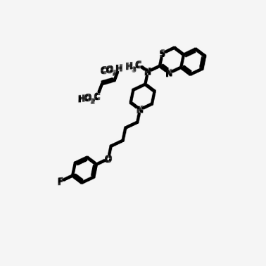 CN(C1=Nc2ccccc2CS1)C1CCN(CCCCOc2ccc(F)cc2)CC1.O=C(O)C=CC(=O)O